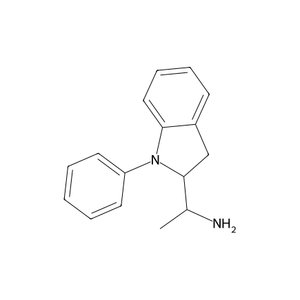 CC(N)C1Cc2ccccc2N1c1ccccc1